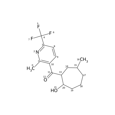 Cc1nc(C(F)(F)F)ccc1C(=O)C1[CH]C(C)CCCC1O